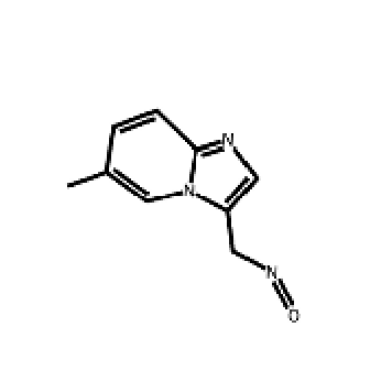 Cc1ccc2ncc(CN=O)n2c1